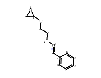 C(=N\OCCOC1CO1)/c1ccccc1